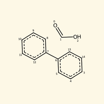 O=CO.c1ccc(-c2ccccc2)cc1